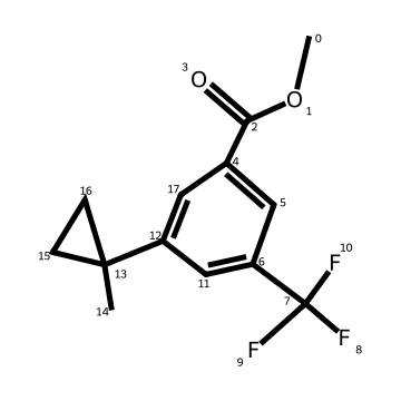 COC(=O)c1cc(C(F)(F)F)cc(C2(C)CC2)c1